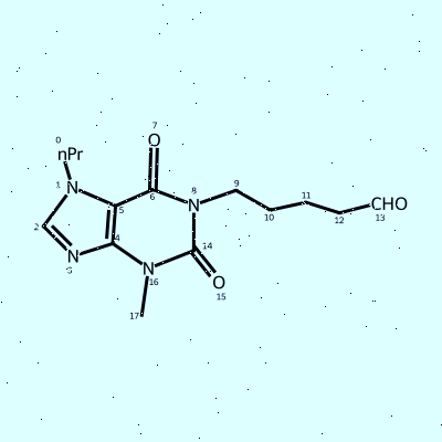 CCCn1cnc2c1c(=O)n(CCCCC=O)c(=O)n2C